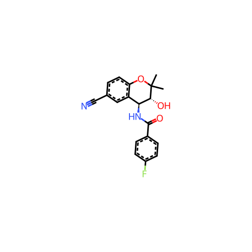 CC1(C)Oc2ccc(C#N)cc2[C@H](NC(=O)c2ccc(F)cc2)[C@H]1O